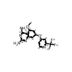 COc1cc(Oc2ccnc(C(F)(F)F)c2)cc2nc(N)nc(N)c12